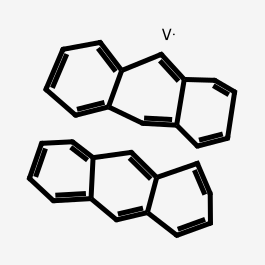 [V].c1ccc2cc3ccccc3cc2c1.c1ccc2cc3ccccc3cc2c1